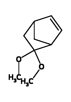 COC1(OC)CC2C=CC1C2